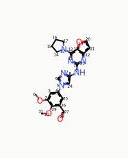 COc1cc(-n2cnc(Nc3nc(N4CCCC4)c4occc4n3)c2)cc(C=O)c1OC